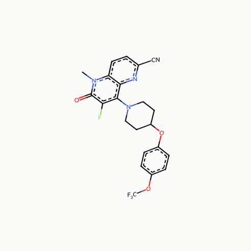 Cn1c(=O)c(F)c(N2CCC(Oc3ccc(OC(F)(F)F)cc3)CC2)c2nc(C#N)ccc21